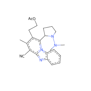 CC(=O)OCCc1c(C)c(C#N)c2nc3ccccc3n2c1C1CCCN1N(C)C